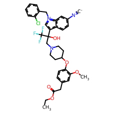 [C-]#[N+]c1ccc2c(C(O)(CN3CCC(Oc4ccc(CC(=O)OCC)cc4OC)CC3)C(F)(F)F)cn(Cc3ccccc3Cl)c2c1